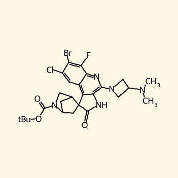 CN(C)C1CN(c2nc3c(F)c(Br)c(Cl)cc3c3c2NC(=O)C32CC3CC2CN3C(=O)OC(C)(C)C)C1